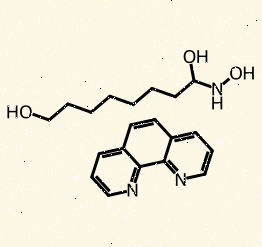 OCCCCCCCC(O)NO.c1cnc2c(c1)ccc1cccnc12